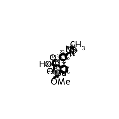 COCCOc1ccccc1C1C(C(=O)C(C)(C)C)=C(O)C(=O)N1c1ccc(-c2noc(C)n2)cc1